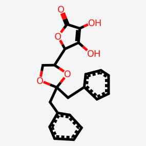 O=C1OC(C2COC(Cc3ccccc3)(Cc3ccccc3)O2)C(O)=C1O